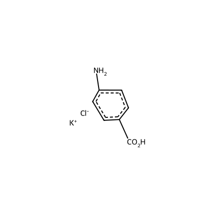 Nc1ccc(C(=O)O)cc1.[Cl-].[K+]